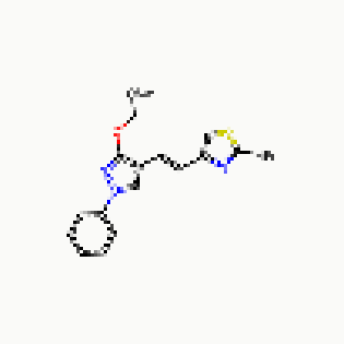 COCOc1nn(-c2ccccc2)cc1/C=C/c1csc(C(C)C)n1